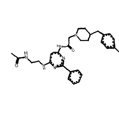 CC(=O)NCCNc1cc(NC(=O)CN2CCC(Cc3ccc(F)cc3)CC2)nc(-c2ccccc2)n1